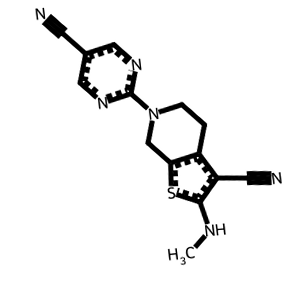 CNc1sc2c(c1C#N)CCN(c1ncc(C#N)cn1)C2